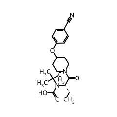 CC[C@@H](C(=O)N1CCC(Oc2ccc(C#N)cc2)CC1)N(C(=O)O)C(C)(C)C